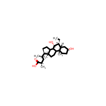 CC[C@H]1[C@@H](O)C2C3CC[C@H]([C@H](C)C[C@H](C)C(=O)O)[C@@]3(C)CCC2[C@@]2(C)CC[C@@H](O)C[C@@H]12